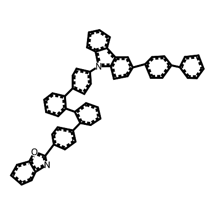 c1ccc(-c2ccc(-c3ccc4c(c3)c3ccccc3n4-c3ccc(-c4ccccc4-c4ccccc4-c4ccc(-c5nc6ccccc6o5)cc4)cc3)cc2)cc1